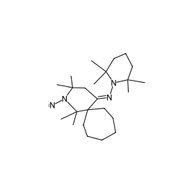 CC1(C)CCCC(C)(C)N1N=C1CC(C)(C)N([N])C(C)(C)C12CCCCCC2